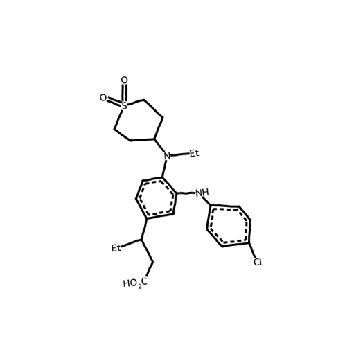 CCC(CC(=O)O)c1ccc(N(CC)C2CCS(=O)(=O)CC2)c(Nc2ccc(Cl)cc2)c1